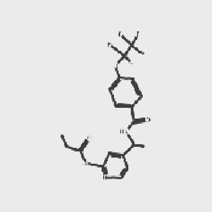 CCC(=O)Nc1cc(C(C)NC(=O)c2ccc(OC(F)(F)C(F)(F)F)cc2)ccn1